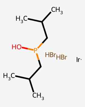 Br.Br.CC(C)CP(O)CC(C)C.[Ir]